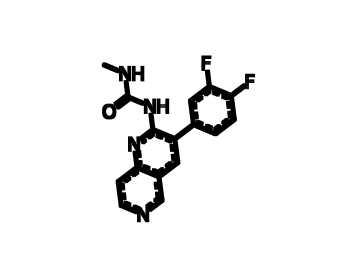 CNC(=O)Nc1nc2ccncc2cc1-c1ccc(F)c(F)c1